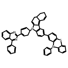 C1=CC2=c3c(n(C4C=CC(c5nc(-c6ccccc6)c6ccccc6n5)=CC4)c4ccc(-c5ccc6c(c5)N(c5ccccc5)c5ccccc5S6)cc34)=CCC2CC1